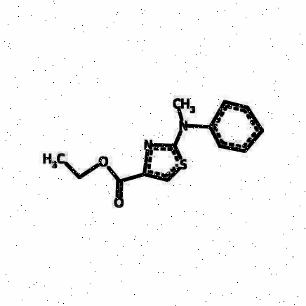 CCOC(=O)c1csc(N(C)c2ccccc2)n1